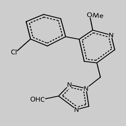 COc1ncc(Cn2cnc(C=O)n2)cc1-c1cccc(Cl)c1